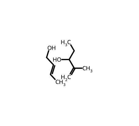 C=C(C)C(O)CC.CC=CCO